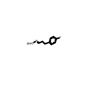 CON=CCCc1ccc(F)cc1